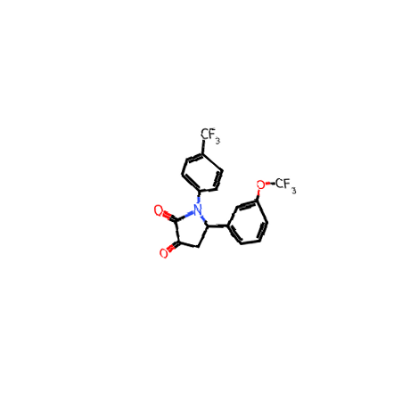 O=C1CC(c2cccc(OC(F)(F)F)c2)N(c2ccc(C(F)(F)F)cc2)C1=O